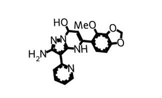 COc1c(C2=CC(O)n3nc(N)c(-c4ccccn4)c3N2)ccc2c1OCO2